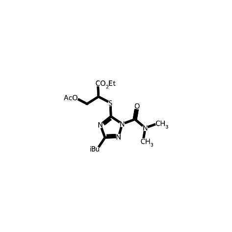 CCOC(=O)C(COC(C)=O)Sc1nc(C(C)CC)nn1C(=O)N(C)C